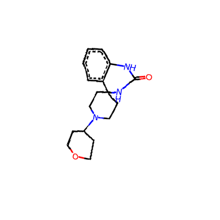 O=C1Nc2ccccc2C2(CCN(C3CCOCC3)CC2)N1